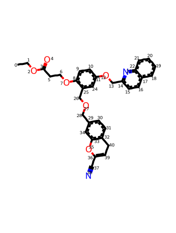 CCOC(=O)CCOc1ccc(OCc2ccc3ccccc3n2)cc1COCc1ccc2c(c1)OC(C#N)=CC2